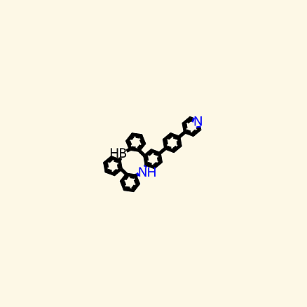 B1c2ccccc2-c2ccccc2Nc2ccc(-c3ccc(-c4ccncc4)cc3)cc2-c2ccccc21